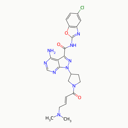 CN(C)CC=CC(=O)N1CCC(n2nc(C(=O)Nc3nc4cc(Cl)ccc4o3)c3c(N)ncnc32)C1